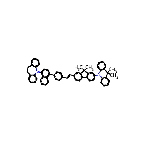 CC1(C)c2cc(/C=C/c3ccc(-c4ccc(N5c6ccccc6CCc6ccccc65)c5ccccc45)cc3)ccc2-c2ccc(N3c4ccccc4C(C)(C)c4ccccc43)cc21